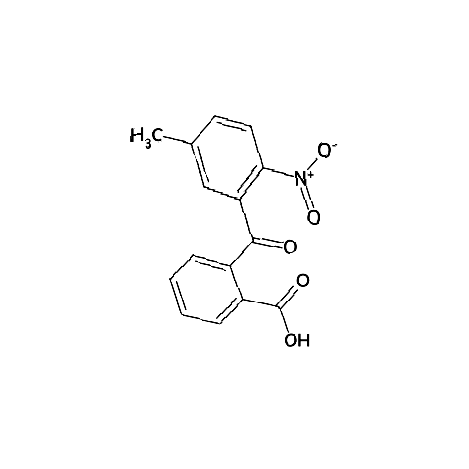 Cc1ccc([N+](=O)[O-])c(C(=O)c2ccccc2C(=O)O)c1